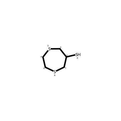 SC1CSCCSC1